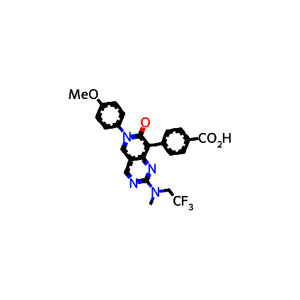 COc1ccc(-n2cc3cnc(N(C)CC(F)(F)F)nc3c(-c3ccc(C(=O)O)cc3)c2=O)cc1